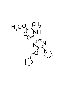 COC(=O)[C@H](C)NC(=O)c1cnc(N2CCCC2)c(OCC2CCCC2)n1